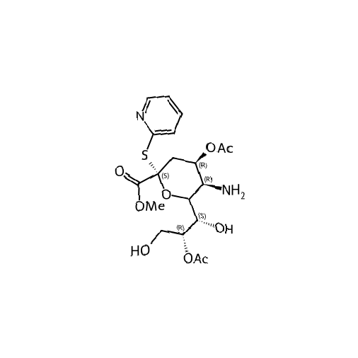 COC(=O)[C@@]1(Sc2ccccn2)C[C@@H](OC(C)=O)[C@@H](N)C([C@H](O)[C@@H](CO)OC(C)=O)O1